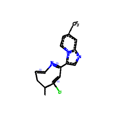 CC1C/C=C/N=C(c2cnc3cc(C(F)(F)F)ccn23)\C=C/1Cl